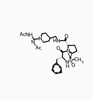 CC(=O)/N=C(/NC(C)=O)N1CCC(CNC(=O)[C@@H]2CCCN2C(=O)[C@@H](Cc2ccccc2)NS(C)(=O)=O)CC1